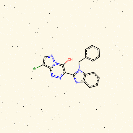 Oc1c(-c2nc3ccccc3n2Cc2ccccc2)nnc2c(Br)cnn12